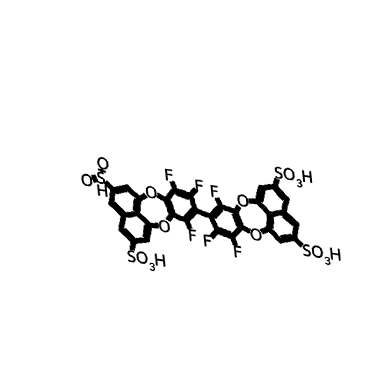 O=[SH](=O)c1cc2c3c(cc(S(=O)(=O)O)cc3c1)Oc1c(F)c(-c3c(F)c(F)c4c(c3F)Oc3cc(S(=O)(=O)O)cc5cc(S(=O)(=O)O)cc(c35)O4)c(F)c(F)c1O2